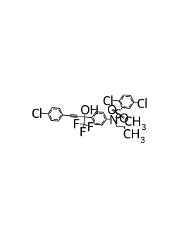 CC(C)CN(c1ccc(C(O)(C#Cc2ccc(Cl)cc2)C(F)(F)F)cc1)S(=O)(=O)c1cc(Cl)ccc1Cl